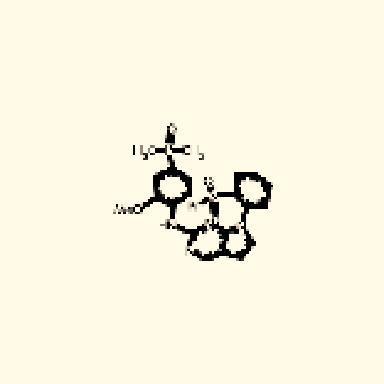 COc1cc(P(C)(C)=O)ccc1Nc1ncc2ccn(-c3ccccc3S(=O)(=O)C(C)C)c2n1